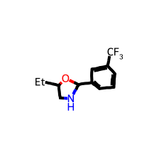 CCC1CNC(c2cccc(C(F)(F)F)c2)O1